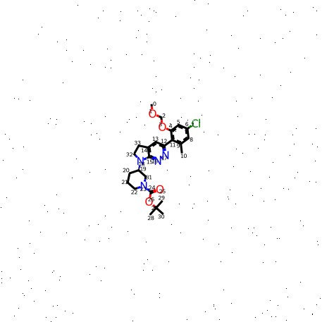 COCOc1cc(Cl)cc(C)c1-c1cc2c(nn1)N([C@@H]1CCCN(C(=O)OC(C)(C)C)C1)CC2